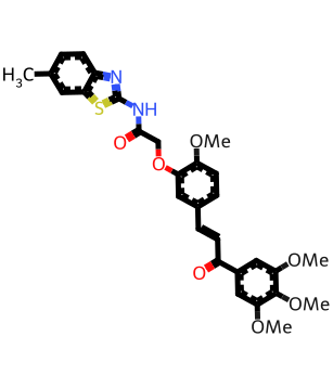 COc1ccc(/C=C/C(=O)c2cc(OC)c(OC)c(OC)c2)cc1OCC(=O)Nc1nc2ccc(C)cc2s1